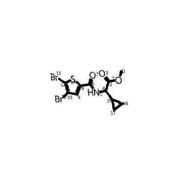 COC(=O)C(NC(=O)c1cc(Br)c(Br)s1)C1CC1